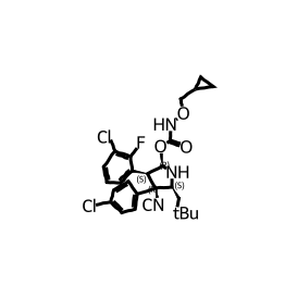 CC(C)(C)C[C@@H]1N[C@H](OC(=O)NOCC2CC2)[C@H](c2cccc(Cl)c2F)[C@@]1(C#N)c1ccc(Cl)cc1